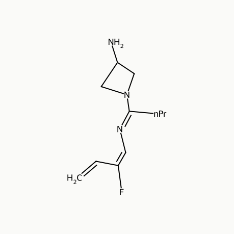 C=C/C(F)=C\N=C(/CCC)N1CC(N)C1